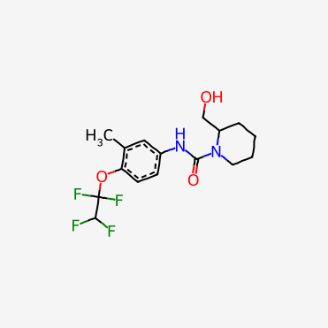 Cc1cc(NC(=O)N2CCCCC2CO)ccc1OC(F)(F)C(F)F